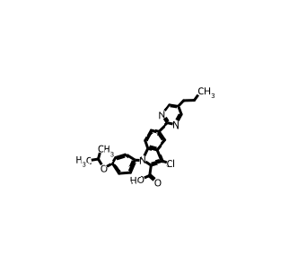 CCCc1cnc(-c2ccc3c(c2)c(Cl)c(C(=O)O)n3-c2ccc(OC(C)C)cc2)nc1